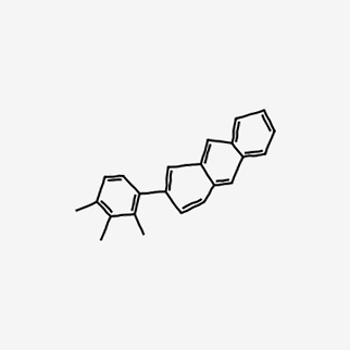 Cc1ccc(-c2ccc3cc4ccccc4cc3c2)c(C)c1C